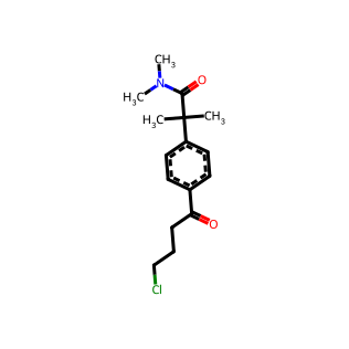 CN(C)C(=O)C(C)(C)c1ccc(C(=O)CCCCl)cc1